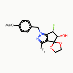 COc1ccc(Cn2nc(C(F)(F)F)c3c2[C@@H](F)[C@@H](O)C32OCCO2)cc1